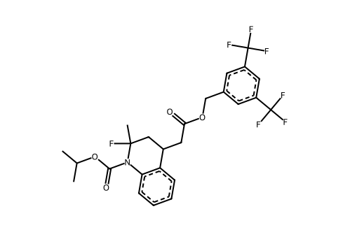 CC(C)OC(=O)N1c2ccccc2C(CC(=O)OCc2cc(C(F)(F)F)cc(C(F)(F)F)c2)CC1(C)F